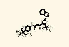 CCC(CC)(c1ccc(NC(=O)C=Cc2sc(-n3cnc4ccccc43)nc2C(C)(C)C)cc1)P(=O)(O)O